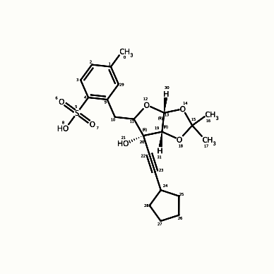 Cc1ccc(S(=O)(=O)O)c(CC2O[C@@H]3OC(C)(C)O[C@@H]3[C@@]2(O)C#CC2CCCC2)c1